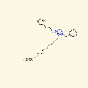 CCCCCCCCCCCCCCCCCCCc1n(Cc2ccccc2)cc[n+]1CCCCCCCCCCCCCCC